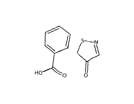 O=C(O)c1ccccc1.O=C1C=NSC1